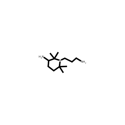 CC1(C)CCC(N)C(C)(C)N1CCCN